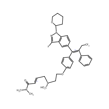 CN(C)C(=O)/C=C/CN(CCOc1ccc(/C(=C(/CC(F)(F)F)c2ccccc2)c2ccc3c(c2)c(F)nn3C2CCCCO2)cc1)C(=O)O